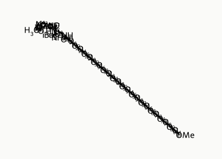 CC[C@H](C)[C@H](NC(C)=O)C(=O)N[C@@H](CCCCNC(=O)CCOCCOCCOCCOCCOCCOCCOCCOCCOCCOCCOCCOCCOCCOCCOCCOCCOCCOCCOCCOCCOCCOCCOCCOC)C(=O)N1CCN(c2ccc3ncn(C)c(=O)c3c2)CC1